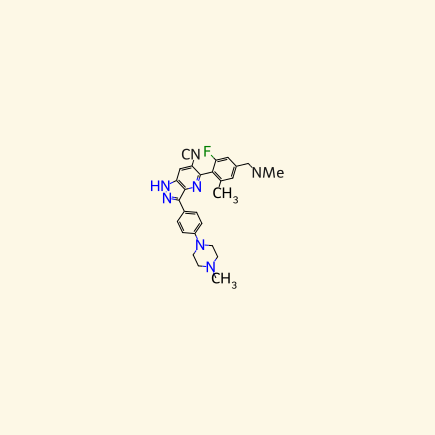 CNCc1cc(C)c(-c2nc3c(-c4ccc(N5CCN(C)CC5)cc4)n[nH]c3cc2C#N)c(F)c1